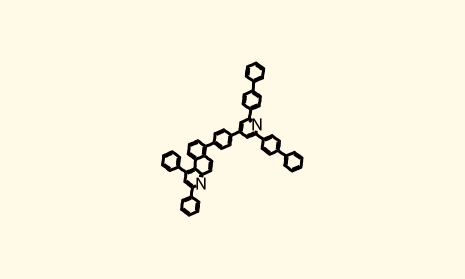 c1ccc(-c2ccc(-c3cc(-c4ccc(-c5cccc6c5ccc5nc(-c7ccccc7)cc(-c7ccccc7)c56)cc4)cc(-c4ccc(-c5ccccc5)cc4)n3)cc2)cc1